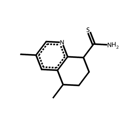 Cc1cnc2c(c1)C(C)CCC2C(N)=S